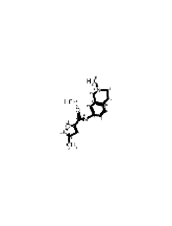 Cc1cc(C(=O)Nc2ccc3c(c2)CN(C)CC3)on1.Cl